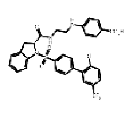 O=C(O)c1ccc(NCCNC(=O)[C@@H]2Cc3ccccc3N2S(=O)(=O)c2ccc(-c3cc(C(F)(F)F)ccc3Cl)cc2)cc1